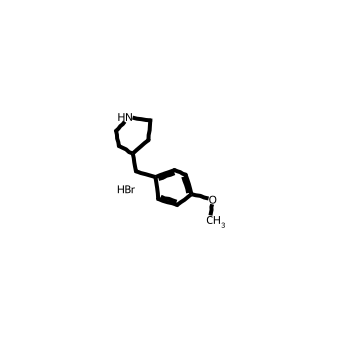 Br.COc1ccc(CC2CCNCC2)cc1